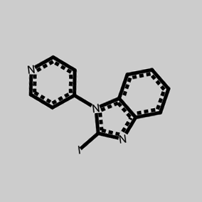 Ic1nc2ccccc2n1-c1ccncc1